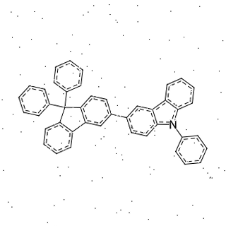 c1ccc(-n2c3ccccc3c3cc(-c4ccc5c(c4)-c4ccccc4C5(c4ccccc4)c4ccccc4)ccc32)cc1